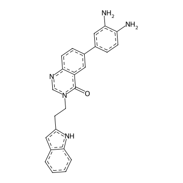 Nc1ccc(-c2ccc3ncn(CCc4cc5ccccc5[nH]4)c(=O)c3c2)cc1N